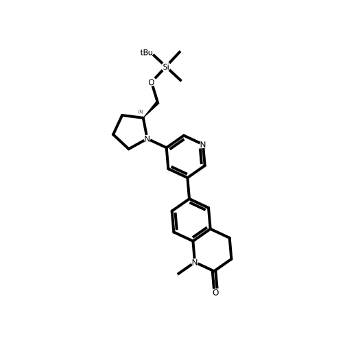 CN1C(=O)CCc2cc(-c3cncc(N4CCC[C@H]4CO[Si](C)(C)C(C)(C)C)c3)ccc21